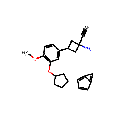 C#CC1(N)CC(c2ccc(OC)c(OC3CCCC3)c2)C1.c1cc2cc-2c1